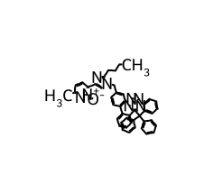 CCCCc1nc(-c2ccc(C)n[n+]2[O-])cn1Cc1ccc(-c2ccccc2C2(C(c3ccccc3)(c3ccccc3)c3ccccc3)N=NN=N2)cc1